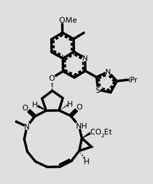 CCOC(=O)[C@@]12C[C@H]1/C=C\CCCCN(C)C(=O)[C@@H]1C[C@H](Oc3cc(-c4nc(C(C)C)cs4)nc4c(C)c(OC)ccc34)C[C@H]1C(=O)N2